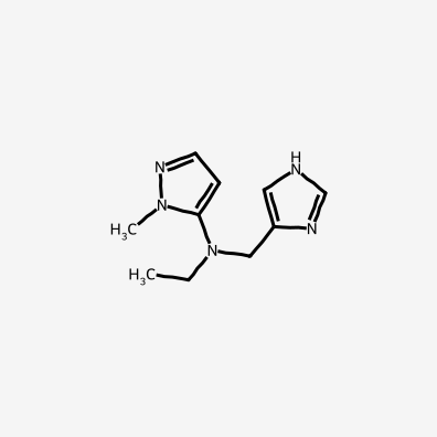 CCN(Cc1c[nH]cn1)c1ccnn1C